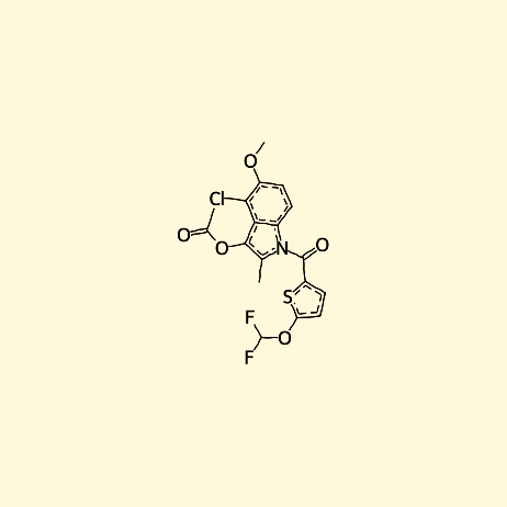 COc1ccc2c(c1Cl)c(OC(C)=O)c(C)n2C(=O)c1ccc(OC(F)F)s1